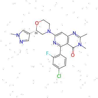 Cc1nc2cc(N3CCO[C@@H](c4cnn(C)c4)C3)nc(-c3ccc(Cl)cc3F)c2c(=O)n1C